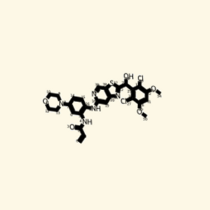 C=CC(=O)Nc1cc(N2CCOCC2)ccc1Nc1cc2nc(C(O)c3c(Cl)c(OC)cc(OC)c3Cl)sc2cn1